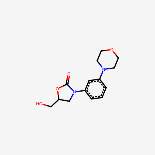 O=C1OC(CO)CN1c1cccc(N2CCOCC2)c1